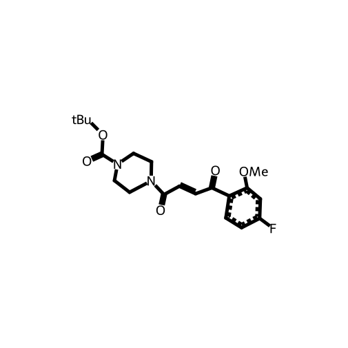 COc1cc(F)ccc1C(=O)/C=C/C(=O)N1CCN(C(=O)OC(C)(C)C)CC1